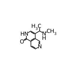 CNC(C)c1c[nH]c(=O)c2ccncc12